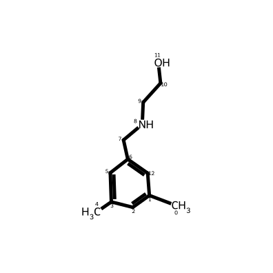 Cc1cc(C)cc(CNCCO)c1